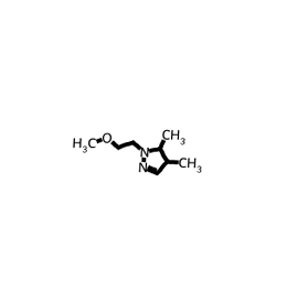 COCCN1N=CC(C)C1C